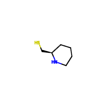 SC[C@H]1CCCCN1